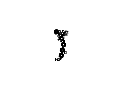 CCC(NC(=O)c1nc(CC2CCN(c3ccc(-c4ccc(CO)cc4)c(Cl)c3)CC2)nc(C)c1OCc1ccccc1)C(=O)O